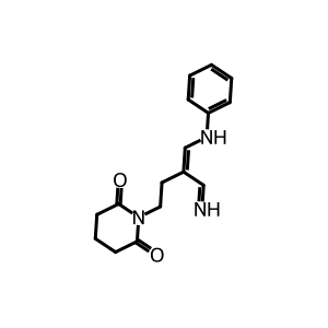 N=C/C(=C\Nc1ccccc1)CCN1C(=O)CCCC1=O